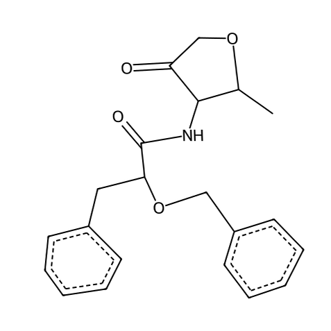 CC1OCC(=O)C1NC(=O)C(Cc1ccccc1)OCc1ccccc1